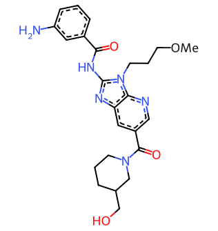 COCCCn1c(NC(=O)c2cccc(N)c2)nc2cc(C(=O)N3CCCC(CO)C3)cnc21